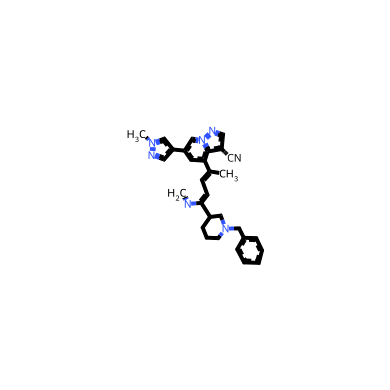 C=N/C(=C\C=C(/C)c1cc(-c2cnn(C)c2)cn2ncc(C#N)c12)C1CCCN(Cc2ccccc2)C1